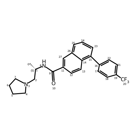 C[C@@H](CN1CCCC1)NC(=O)c1ccc2c(-c3ccc(C(F)(F)F)cc3)cccc2c1